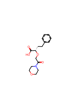 O=C(O)[C@H](CCc1ccccc1)OCC(=O)N1CCOCC1